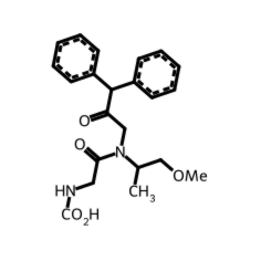 COCC(C)N(CC(=O)C(c1ccccc1)c1ccccc1)C(=O)CNC(=O)O